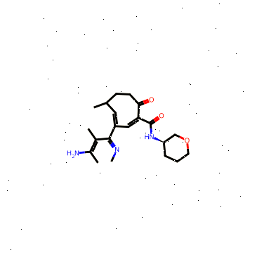 C/N=C(C1=C\C(C)CCC(=O)/C(C(=O)N[C@@H]2CCCOC2)=C\1)\C(C)=C(/C)N